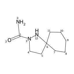 NC(=O)N1CCC2(CCCCC2)N1